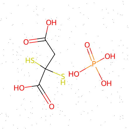 O=C(O)CC(S)(S)C(=O)O.O=P(O)(O)O